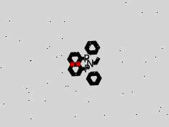 CCN(P(c1ccccc1)c1ccccc1)P(c1ccccc1)c1ccccc1